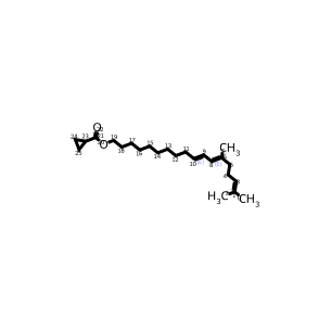 CC(C)=CCC/C(C)=C/C=C/CCCCCCCCCOC(=O)C1CC1